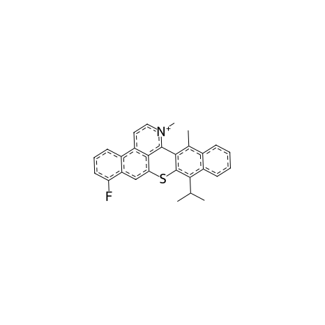 Cc1c2c(c(C(C)C)c3ccccc13)Sc1cc3c(F)cccc3c3cc[n+](C)c-2c13